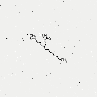 CCCCCCCCC(CCCCCC)COC(N)=O